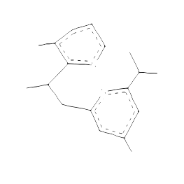 CC(C)c1cc(F)cc(CC(C)c2ncccc2F)n1